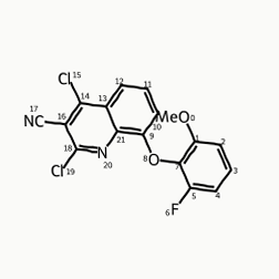 COc1cccc(F)c1Oc1cccc2c(Cl)c(C#N)c(Cl)nc12